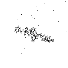 O=C(NCCN1CCOCC1)N1CCC(CC(CCCN2CCC(O)(c3ccc(Cl)cc3)CC2)(c2ccccc2)c2ccccc2)CC1